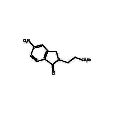 CCOC(=O)CCN1Cc2cc([N+](=O)[O-])ccc2C1=O